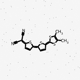 CC1=C(C)SC(=c2ccc(=c3ccc(=C(C#N)C#N)s3)s2)S1